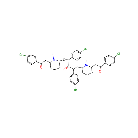 CN1C(CC(=O)c2ccc(Cl)cc2)CCCC1CC(C(=O)C(CC1CCCC(CC(=O)c2ccc(Cl)cc2)N1C)c1ccc(Br)cc1)c1ccc(Br)cc1